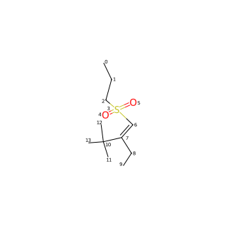 CCCS(=O)(=O)/C=C(/CC)C(C)(C)C